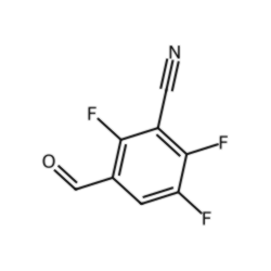 N#Cc1c(F)c(F)cc(C=O)c1F